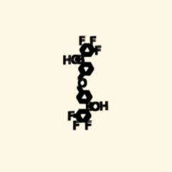 OB(c1ccc(COCc2cccc(B(O)c3cc(F)c(F)c(F)c3)c2)cc1)c1cc(F)c(F)c(F)c1